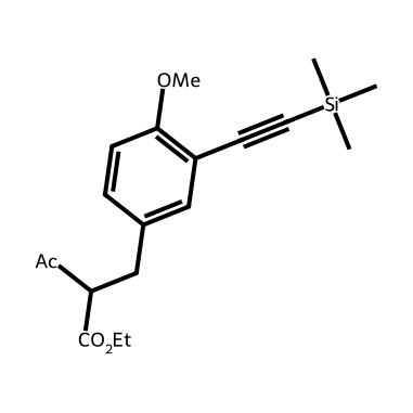 CCOC(=O)C(Cc1ccc(OC)c(C#C[Si](C)(C)C)c1)C(C)=O